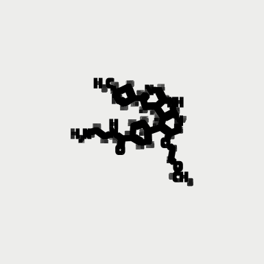 COCCOc1cnc2[nH]c3cnc(-c4cnn(C)c4)cc3c2c1-c1ccc(C(=O)NCCN)cc1